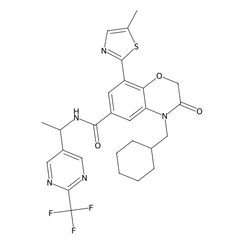 Cc1cnc(-c2cc(C(=O)NC(C)c3cnc(C(F)(F)F)nc3)cc3c2OCC(=O)N3CC2CCCCC2)s1